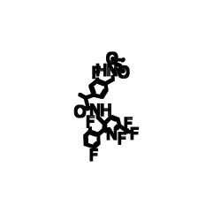 CC(C(=O)NCc1ccc(C(F)(F)F)nc1-c1cc(F)ccc1F)c1ccc(CNS(C)(=O)=O)c(F)c1